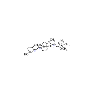 C=C1CC[C@H](O)C/C1=C/C=C1\CCCC2(C)C([C@H](C)/C=C/CS(=O)(=O)C(C)(C)C)=CC[C@@H]12